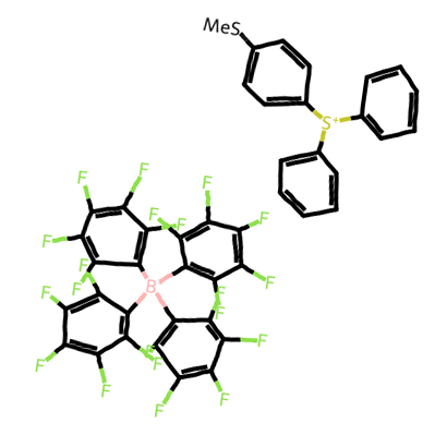 CSc1ccc([S+](c2ccccc2)c2ccccc2)cc1.Fc1c(F)c(F)c([B-](c2c(F)c(F)c(F)c(F)c2F)(c2c(F)c(F)c(F)c(F)c2F)c2c(F)c(F)c(F)c(F)c2F)c(F)c1F